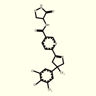 O=C(NC1CONC1=O)c1ccc(C2=NCC(c3cc(Cl)c(Cl)c(C(F)(F)F)c3)(C(F)(F)F)C2)nc1